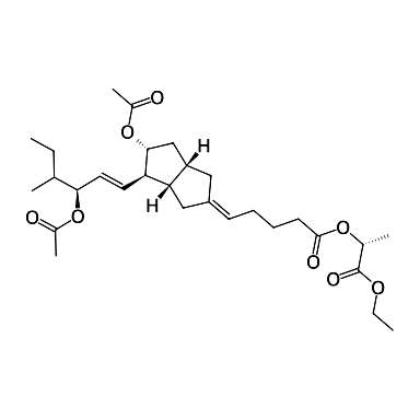 CCOC(=O)[C@@H](C)OC(=O)CCC/C=C1\C[C@H]2C[C@@H](OC(C)=O)[C@H](/C=C/[C@@H](OC(C)=O)C(C)CC)[C@H]2C1